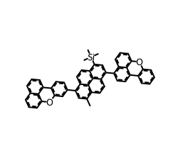 Cc1cc(-c2ccc3c(c2)Oc2cccc4cccc-3c24)c2ccc3c([Si](C)(C)C)cc(-c4ccc5c6c(cccc46)Oc4ccccc4-5)c4ccc1c2c43